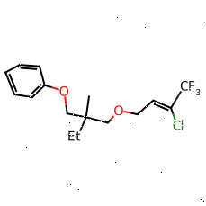 CCC(C)(COCC=C(Cl)C(F)(F)F)COc1ccccc1